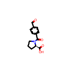 O=Cc1ccc(C(=O)N2CCC[C@@H]2C(=O)O)cc1